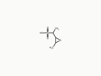 CC1OC1C(C)S(=O)(=O)O